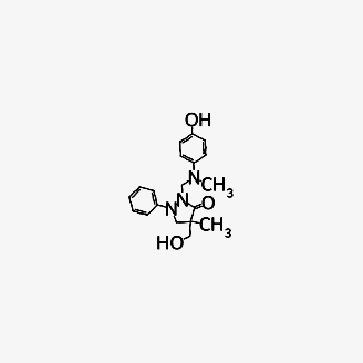 CN(CN1C(=O)C(C)(CO)CN1c1ccccc1)c1ccc(O)cc1